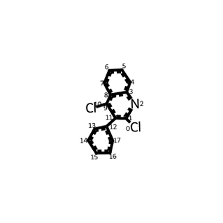 Clc1nc2ccccc2c(Cl)c1-c1ccccc1